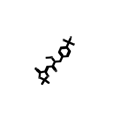 CON(Cc1ccc(C(F)(F)F)cc1)C(=O)C=C1OC(C)(C)OC1=O